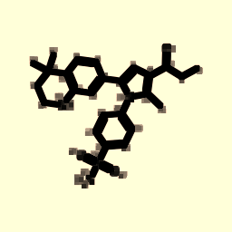 CCC(=O)c1cc(-c2ccc3c(c2)NCCC3(C)C)n(-c2ccc(S(N)(=O)=O)cc2)c1C